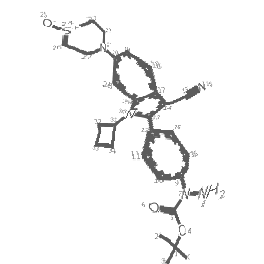 CC(C)(C)OC(=O)N(N)c1ccc(-c2c(C#N)c3ccc(N4CC[S+]([O-])CC4)cc3n2C2CCC2)cc1